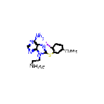 COc1ccc(I)c(Sc2nc3c(N)ncnc3n2CCNC(C)=O)c1